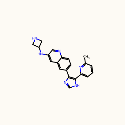 Cc1cccc(-c2[nH]cnc2-c2ccc3ncc(NC4CNC4)cc3c2)n1